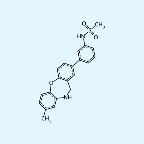 Cc1ccc2c(c1)NCc1cc(-c3cccc(NS(C)(=O)=O)c3)ccc1O2